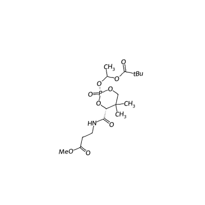 COC(=O)CCNC(=O)[C@@H]1O[P@](=O)(OC(C)OC(=O)C(C)(C)C)OCC1(C)C